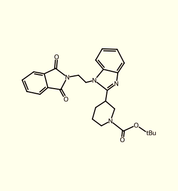 CC(C)(C)OC(=O)N1CCCC(c2nc3ccccc3n2CCN2C(=O)c3ccccc3C2=O)C1